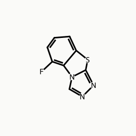 Fc1cccc2sc3nncn3c12